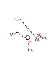 CC/C=C\C/C=C/c1cccc(OCCCC)c1.CCCCCCCCCCCCSC(C)(C)CC(C)=O